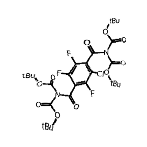 CC(C)(C)OC(=O)N(C(=O)OC(C)(C)C)C(=O)c1c(F)c(F)c(C(=O)N(C(=O)OC(C)(C)C)C(=O)OC(C)(C)C)c(Cl)c1F